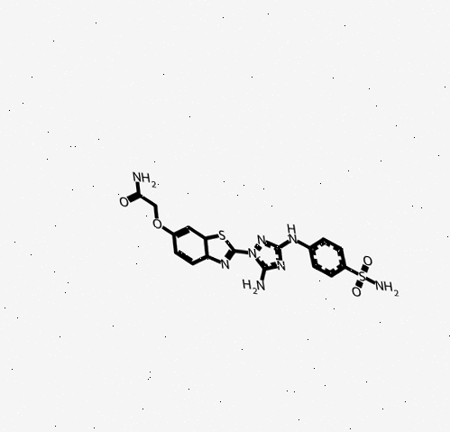 NC(=O)COC1=CC2SC(n3nc(Nc4ccc(S(N)(=O)=O)cc4)nc3N)=NC2C=C1